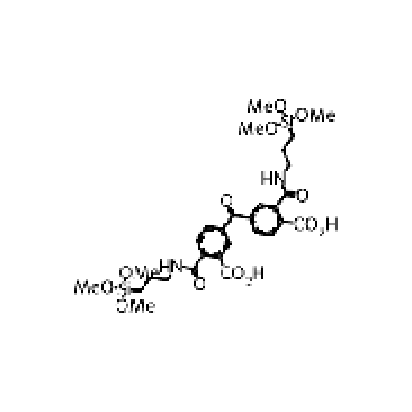 CO[Si](CCCNC(=O)c1ccc(C(=O)c2ccc(C(=O)O)c(C(=O)NCCC[Si](OC)(OC)OC)c2)cc1C(=O)O)(OC)OC